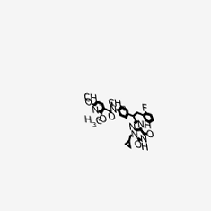 COc1ccc(C(=O)N(C)c2ccc(C(Cc3ccccc3F)c3nc4c([nH]3)c(=O)[nH]c(=O)n4CC3CC3)cc2)c(OC)n1